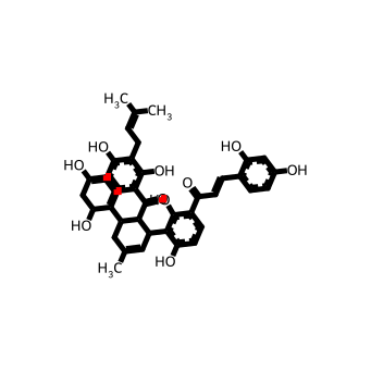 CC(C)=CCc1c(O)c#cc(C(=O)C2C(C3=CC=C(O)CC3O)CC(C)=CC2c2c(O)ccc(C(=O)/C=C/c3ccc(O)cc3O)c2O)c1O